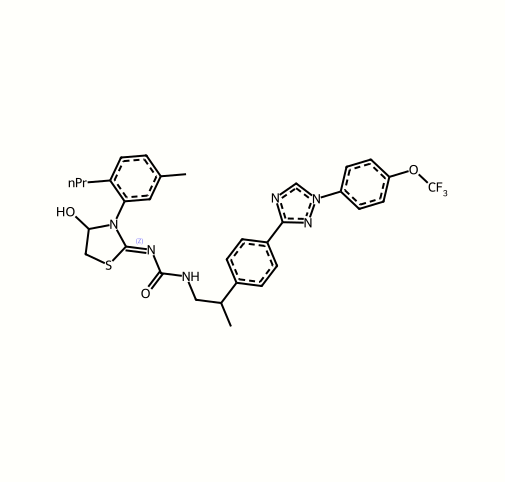 CCCc1ccc(C)cc1N1/C(=N/C(=O)NCC(C)c2ccc(-c3ncn(-c4ccc(OC(F)(F)F)cc4)n3)cc2)SCC1O